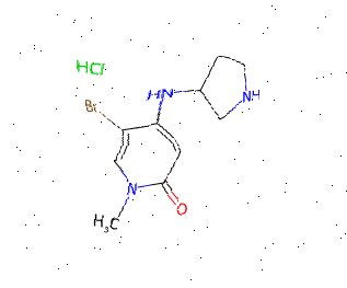 Cl.Cn1cc(Br)c(NC2CCNC2)cc1=O